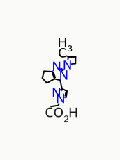 C[C@H]1CCN1c1nc2c(c(-c3ccn(CCC(=O)O)n3)n1)CCC2